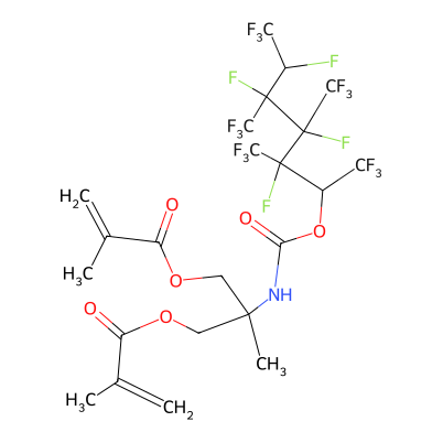 C=C(C)C(=O)OCC(C)(COC(=O)C(=C)C)NC(=O)OC(C(F)(F)F)C(F)(C(F)(F)F)C(F)(C(F)(F)F)C(F)(C(F)C(F)(F)F)C(F)(F)F